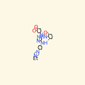 CCN1CCN(c2ccc(Nc3cc(N(C(=O)Nc4c(C)cccc4C)c4ccc5c(c4)OCO5)ncn3)cc2)CC1